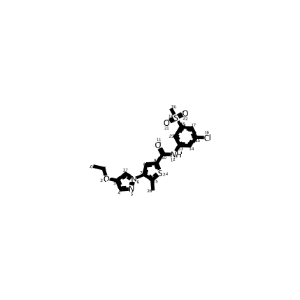 CCOc1cnn(-c2cc(C(=O)Nc3cc(Cl)cc(S(C)(=O)=O)c3)sc2C)c1